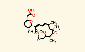 CCC(OC)[C@@H](C)[C@H]1O[C@]1(C)C[C@H](C)/C=C/C=C(\C)[C@H]1O[C@@H](CC(=O)O)CC[C@@H]1C